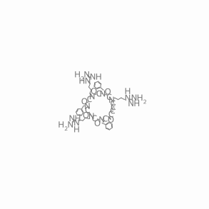 N=C(N)NCCCCN1CCCCC(=O)CN(Cc2ccccc2)C(=O)CN(CCCCNC(=N)N)C(=O)CN(Cc2ccccc2)C(=O)CN(CCCCNC(=N)N)C(=O)CN(Cc2ccccc2)C(=O)C1